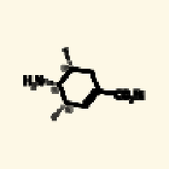 CCOC(=O)C1=C[C@H](C)[C@H](N)[C@H](C)C1